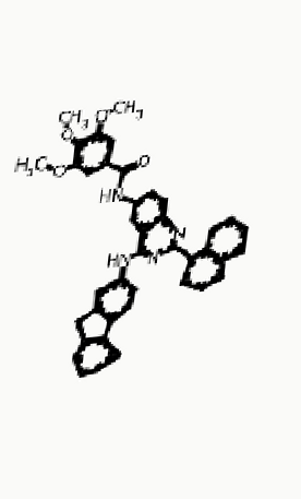 COc1cc(C(=O)Nc2ccc3nc(-c4cccc5ccccc45)nc(Nc4ccc5c(c4)Cc4ccccc4-5)c3c2)cc(OC)c1OC